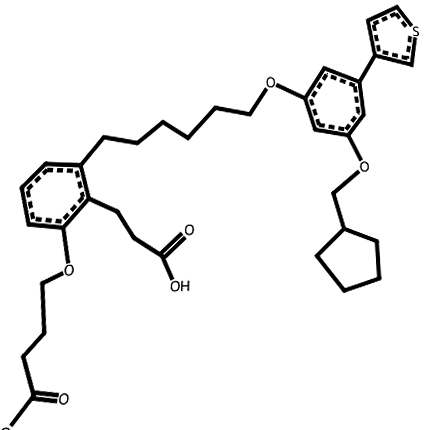 O=C(O)CCCOc1cccc(CCCCCCOc2cc(OCC3CCCC3)cc(-c3ccsc3)c2)c1CCC(=O)O